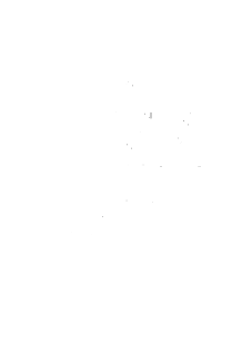 NC(=O)Nc1[nH]c2cc(CCCCO)ccc2c1C(N)=O